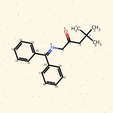 CC(C)(C)CC(=O)CN=C(c1ccccc1)c1ccccc1